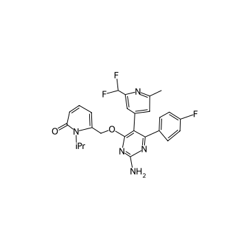 Cc1cc(-c2c(OCc3cccc(=O)n3C(C)C)nc(N)nc2-c2ccc(F)cc2)cc(C(F)F)n1